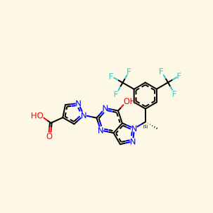 C[C@@H](c1cc(C(F)(F)F)cc(C(F)(F)F)c1)n1ncc2nc(-n3cc(C(=O)O)cn3)nc(O)c21